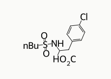 CCCCS(=O)(=O)NC(Cc1ccc(Cl)cc1)C(=O)O